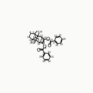 CC1C2(C)CCC1(C)C1(C)C3OC(C(OC(=O)c4ccccc4)C3OC(=O)c3ccccc3)C21C